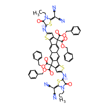 CCN1C(=O)/C(=N/c2cc3c(s2)C2=CC4C=C5C(=CC4C=C2C3(C(=O)OCc2ccccc2)C(=O)OCc2ccccc2)c2sc(/N=C3\SC(=C(C#N)C#N)N(CC)C3=O)cc2C5(C(=O)OCc2ccccc2)C(=O)OCc2ccccc2)SC1=C(C#N)C#N